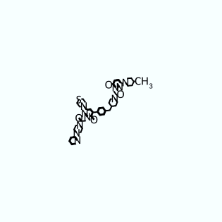 CC1CCN(c2ccc(=O)n(CC(=O)N3CCC(Cc4ccc(-c5cc(N6CCSCC6)nn(CC(=O)N6CCN(c7ccccn7)CC6)c5=O)cc4)CC3)n2)CC1